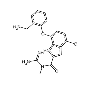 CN(C(=N)N)C(=O)c1cc2c(Cl)ccc(Oc3ccccc3CN)c2[nH]1